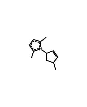 Cc1ccc(C)n1C1C=CC(C)C1